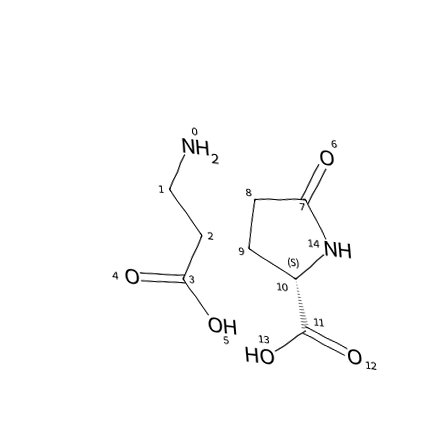 NCCC(=O)O.O=C1CC[C@@H](C(=O)O)N1